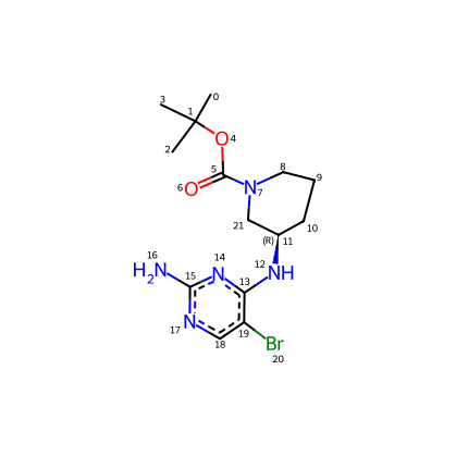 CC(C)(C)OC(=O)N1CCC[C@@H](Nc2nc(N)ncc2Br)C1